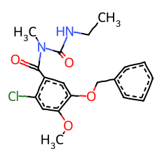 CCNC(=O)N(C)C(=O)c1cc(OCc2ccccc2)c(OC)cc1Cl